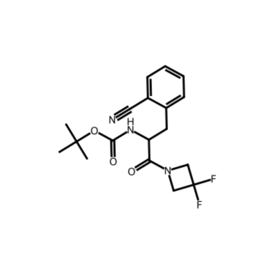 CC(C)(C)OC(=O)NC(Cc1ccccc1C#N)C(=O)N1CC(F)(F)C1